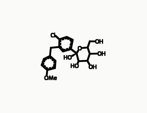 COc1ccc(Cc2cc([C@]3(O)OC(CO)C(O)C(O)C3O)ccc2Cl)cc1